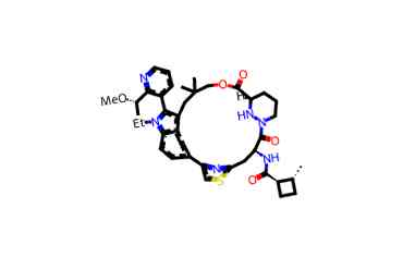 CCn1c(-c2cccnc2[C@H](C)OC)c2c3cc(ccc31)-c1csc(n1)C[C@H](NC(=O)[C@@H]1CC[C@H]1C)C(=O)N1CCC[C@H](N1)C(=O)OCC(C)(C)C2